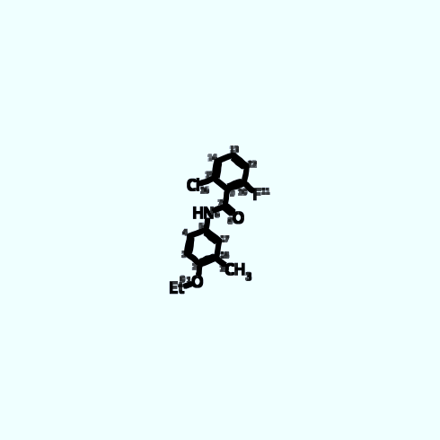 CCOc1ccc(NC(=O)c2c(F)cccc2Cl)cc1C